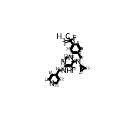 CC(F)(F)c1ccc(CN(c2ncnc(NCc3ccncc3)c2F)C2CC2)cc1